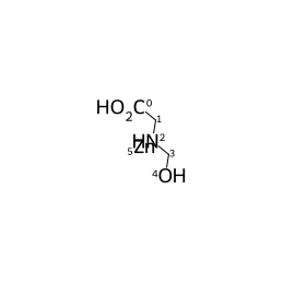 O=C(O)CNCO.[Zn]